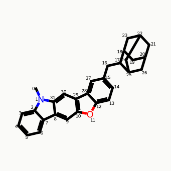 Cn1c2ccccc2c2cc3oc4ccc(CC5C6CC7CC(C6)CC5C7)cc4c3cc21